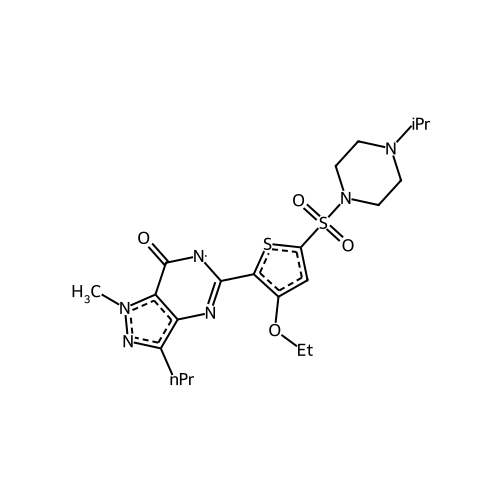 CCCc1nn(C)c2c1N=C(c1sc(S(=O)(=O)N3CCN(C(C)C)CC3)cc1OCC)[N]C2=O